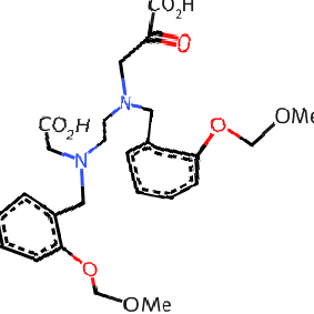 COCOc1ccccc1CN(CCN(CC(=O)C(=O)O)Cc1ccccc1OCOC)CC(=O)O